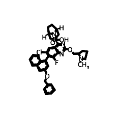 CN1CCCC1COc1nc(N2C[C@H]3CC[C@@H](C2)N3C(=O)O)c2cc(Cl)c(-c3cc(OCc4ccccc4)cc4ccccc34)c(F)c2n1